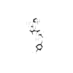 Cc1cnc(Nc2ccnn2C)nc1-c1coc(C(=O)NCc2ccc(Cl)cc2)n1